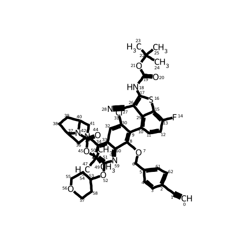 C#Cc1ccc(COc2c(-c3ccc(F)c4sc(NC(=O)OC(C)(C)C)c(C#N)c34)c(Cl)cc3c(N4CC5CCC(C4)N5C(=O)OC(C)(C)C)nc(OC4CCOCC4)nc23)cc1